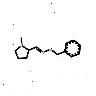 CN1CCCC1C=NOCc1ccccc1